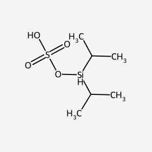 CC(C)[SiH](OS(=O)(=O)O)C(C)C